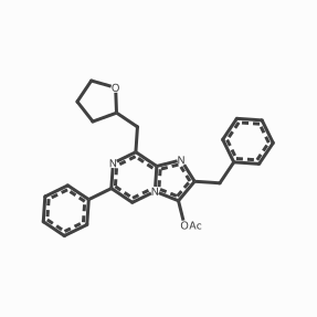 CC(=O)Oc1c(Cc2ccccc2)nc2c(CC3CCCO3)nc(-c3ccccc3)cn12